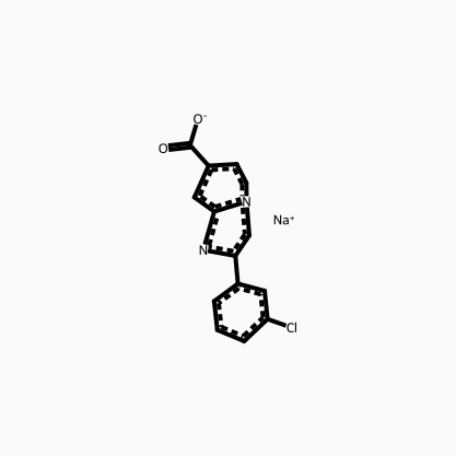 O=C([O-])c1ccn2cc(-c3cccc(Cl)c3)nc2c1.[Na+]